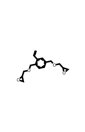 C=Cc1cc(COCC2CO2)ccc1COCC1CO1